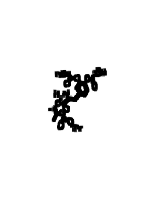 CCCCC(=O)Oc1ccc(C[C@H](N)C(=O)O[C@@H](C)C(C)OC(=O)OC(C)C)cc1OC(=O)CCCC